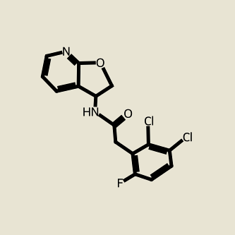 O=C(Cc1c(F)ccc(Cl)c1Cl)NC1COc2ncccc21